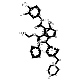 CCOC(=O)C1=C(C(=O)Nc2ccc(C)c(F)c2)C2(C)C=CC1(C(Nc1ccccc1)c1ccc(CN3CCOCC3)cc1)O2